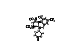 CC(C)CN(Cc1cc(C(F)(F)F)cc(Cl)c1F)C1CCNCC1.O=C(O)C=CC(=O)O